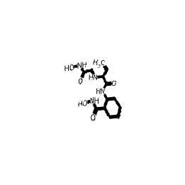 C=CC(NCC(=O)NO)C(=O)NC1CCCCC1C(=O)NO